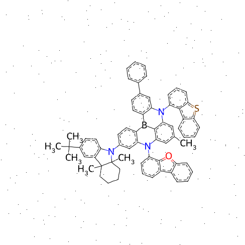 Cc1cc2c3c(c1)N(c1cccc4sc5ccccc5c14)c1cc(-c4ccccc4)ccc1B3c1ccc(N3c4ccc(C(C)(C)C)cc4C4(C)CCCCC34C)cc1N2c1cccc2c1oc1ccccc12